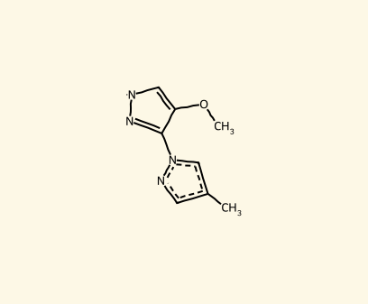 COC1=C[N]N=C1n1cc(C)cn1